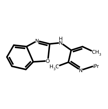 C/C=C(Nc1nc2ccccc2o1)\C(C)=N/C(C)C